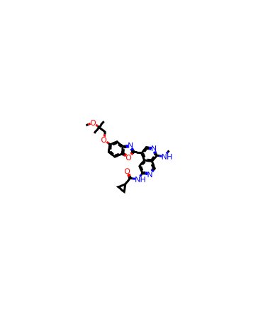 CNc1ncc(-c2nc3cc(OCC(C)(C)OC)ccc3o2)c2cc(NC(=O)C3CC3)ncc12